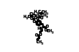 CCCC(=O)OCCN[C@@H](Cc1ccc(OC(=O)OC(C)(C)C)c(OC(=O)OC(C)(C)C)c1)C(=O)OC